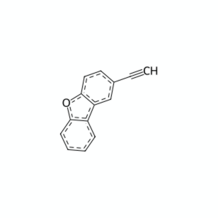 C#Cc1ccc2oc3ccccc3c2c1